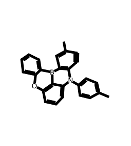 Cc1c#cc2c(c1)B1c3ccccc3Oc3cccc(c31)N2c1ccc(C)cc1